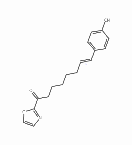 N#Cc1ccc(/C=C/CCCCCC(=O)c2ncco2)cc1